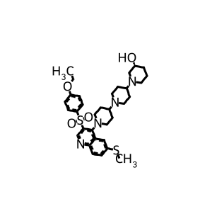 CCOc1ccc(S(=O)(=O)c2cnc3ccc(SC)cc3c2N2CCC(N3CCC(N4CCC[C@H](O)C4)CC3)CC2)cc1